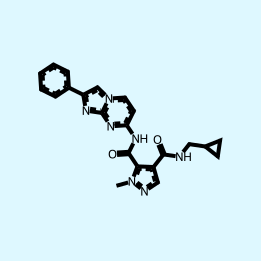 Cn1ncc(C(=O)NCC2CC2)c1C(=O)Nc1ccn2cc(-c3ccccc3)nc2n1